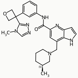 C[C@H]1CCCN(Cc2cc(C(=O)Nc3cccc(C4(c5nncn5C)COC4)c3)nc3cc[nH]c23)C1